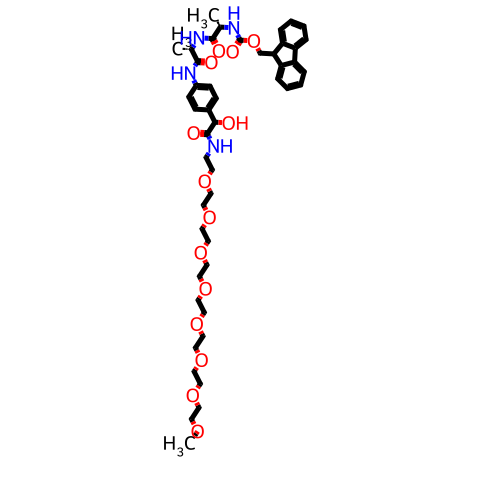 COCCOCCOCCOCCOCCOCCOCCOCCNC(=O)C(O)c1ccc(NC(=O)[C@H](C)NC(=O)[C@H](C)NC(=O)OCC2c3ccccc3-c3ccccc32)cc1